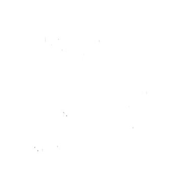 O.O=C([O-])c1cccc(C(=O)O)c1.[Na+].c1cocn1